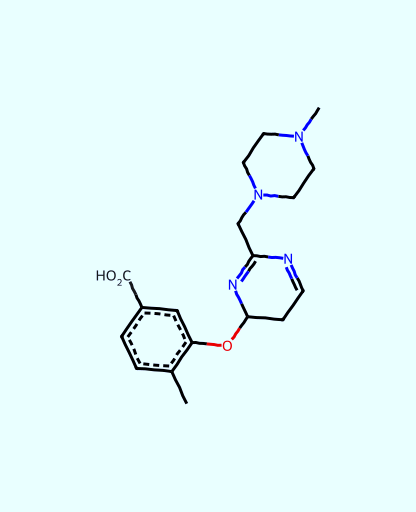 Cc1ccc(C(=O)O)cc1OC1CC=NC(CN2CCN(C)CC2)=N1